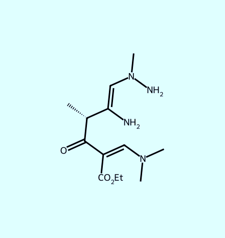 CCOC(=O)/C(=C\N(C)C)C(=O)[C@H](C)/C(N)=C/N(C)N